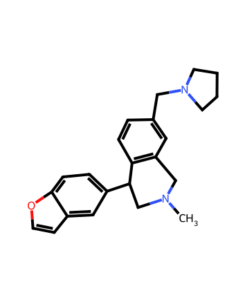 CN1Cc2cc(CN3CCCC3)ccc2C(c2ccc3occc3c2)C1